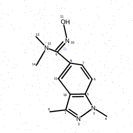 Cc1nn(C)c2ccc(/C(=N/O)N(C)C)cc12